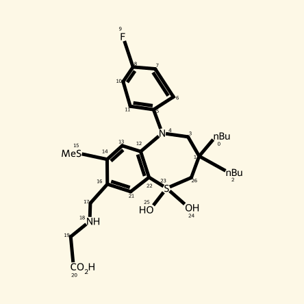 CCCCC1(CCCC)CN(c2ccc(F)cc2)c2cc(SC)c(CNCC(=O)O)cc2S(O)(O)C1